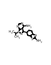 CC(C)n1nc(-c2ccc3nc(N)sc3c2)c2c(N)ncnc21